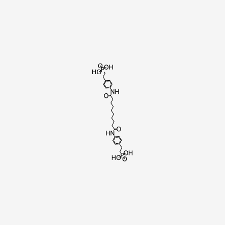 O=C(CCCCCCCCC(=O)Nc1ccc(CCP(=O)(O)O)cc1)Nc1ccc(CCP(=O)(O)O)cc1